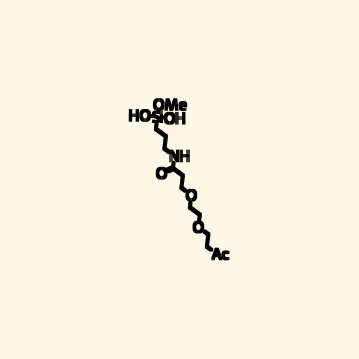 CO[Si](O)(O)CCCNC(=O)CCOCCOCCC(C)=O